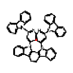 C1=CC2C3=C(c4c(c5ccccc5n4-c4ccnc(-n5c6ccccc6c6ccccc65)c4)CC3)N(c3ccnc(-n4c5ccccc5c5ccccc54)c3)C2C=C1